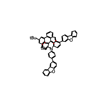 CC(C)(C)c1cc(-c2cccc3cccc(-c4ccccc4N(c4ccc(-c5ccc6c(c5)oc5ccccc56)cc4)c4ccc(-c5ccc6oc7ccccc7c6c5)cc4)c23)cc(C(C)(C)C)c1